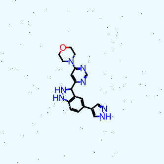 c1nc(C2NNc3ccc(-c4cn[nH]c4)cc32)cc(N2CCOCC2)n1